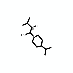 CC(C)C1CCN(C(O)[C@H](O)C(C)C)CC1